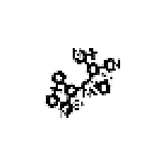 Cc1nc(-c2cc(-c3ccccc3C(C)(C)c3ccccc3)cc(-c3ccncc3[Si](C)(C)C)c2)cc(-c2cc(-c3ccncc3C(C)(C)C)cc(-c3ccncc3[Si](C)(C)c3ccccc3)c2)n1